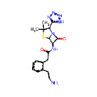 CC1(C)SC2C(NC(=O)Cc3ccccc3CCN)C(=O)N2C1c1nnn[nH]1